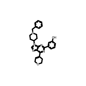 Oc1cccc(-c2nc(C3=CCOCC3)c3ncn(C4CCN(Cc5ccccc5)CC4)c3n2)c1